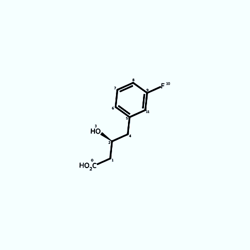 O=C(O)C[C@@H](O)Cc1cccc(F)c1